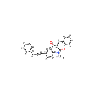 CN1C(=O)/C(=C\c2ccccc2)C(=O)c2cc(C#CCc3ccccc3)ccc21